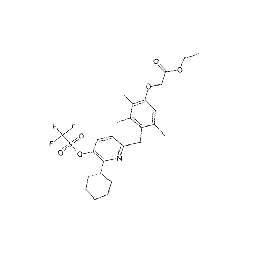 CCOC(=O)COc1cc(C)c(Cc2ccc(OS(=O)(=O)C(F)(F)F)c(C3CCCCC3)n2)c(C)c1C